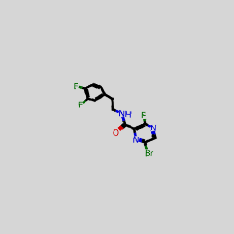 O=C(NCCc1ccc(F)c(F)c1)c1nc(Br)cnc1F